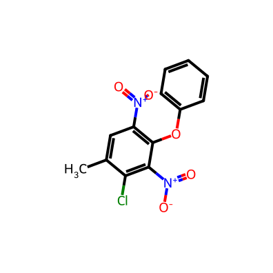 Cc1cc([N+](=O)[O-])c(Oc2ccccc2)c([N+](=O)[O-])c1Cl